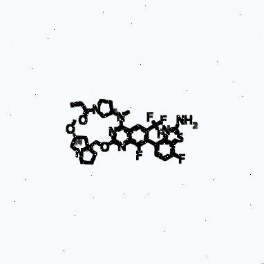 C=CC(=O)N1CC[C@@H](N(C)c2nc(OC[C@@]34CCCN3C[C@H](OC)C4)nc3c(F)c(-c4ccc(F)c5sc(N)nc45)c(C(F)(F)F)cc23)C1